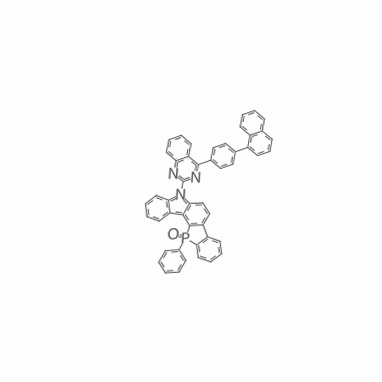 O=P1(c2ccccc2)c2ccccc2-c2ccc3c(c21)c1ccccc1n3-c1nc(-c2ccc(-c3cccc4ccccc34)cc2)c2ccccc2n1